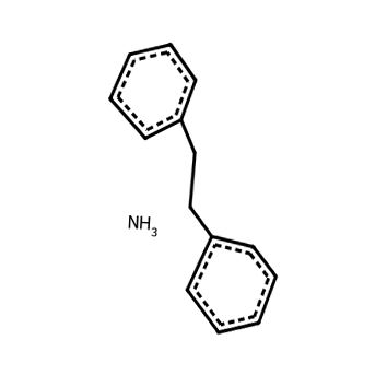 N.c1ccc(CCc2ccccc2)cc1